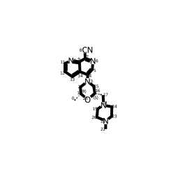 C[C@@H]1CN(c2cnc(C#N)c3ncccc23)C[C@H](CN2CCN(C)CC2)O1